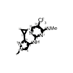 CNc1nc(Nc2cn(C)nc2C2CC2)ncc1C(F)(F)F